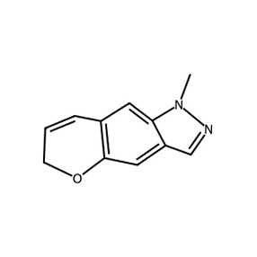 Cn1ncc2cc3c(cc21)C=CCO3